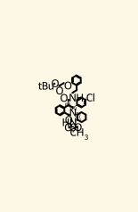 CC(C)(C)OC(=O)COc1ccccc1CCNC(=O)[C@@H]1c2ccccc2C(=O)N([C@H]2CCCC[C@@H]2NS(C)(=O)=O)[C@H]1c1ccc(Cl)cc1